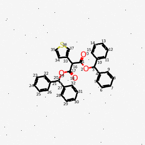 O=C(OC(c1ccccc1)c1ccccc1)C(C(=O)OC(c1ccccc1)c1ccccc1)c1ccsc1